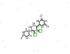 Cc1ccc(C2=C(Cl)C(Cl)=C(c3cc(C)cc(C)c3)[CH]C2)cc1